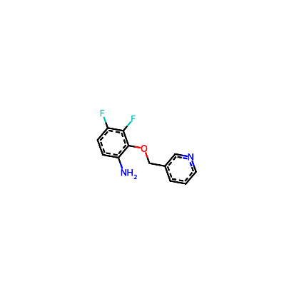 Nc1ccc(F)c(F)c1OCc1cccnc1